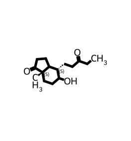 CCC(=O)CC[C@@H]1C(O)CC[C@]2(C)C(=O)CCC12